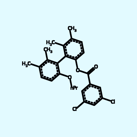 CCCOc1ccc(C)c(C)c1-c1c(OC(=O)c2cc(Cl)cc(Cl)c2)ccc(C)c1C